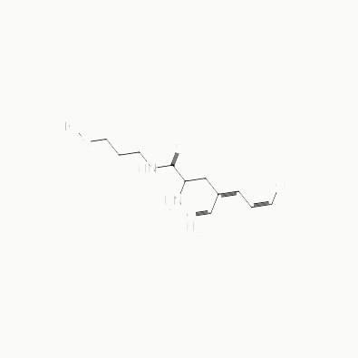 C=C/C(=C\C=C/C)CC(N)C(=O)NCCCSO